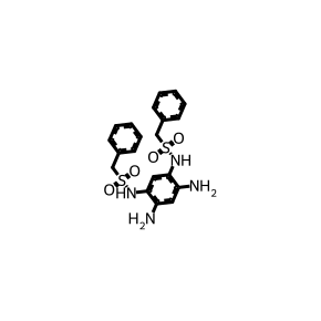 Nc1cc(N)c(NS(=O)(=O)Cc2ccccc2)cc1NS(=O)(=O)Cc1ccccc1